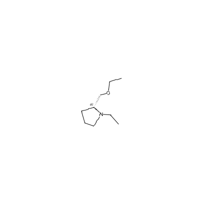 CCOC[C@H]1CCCN1CC